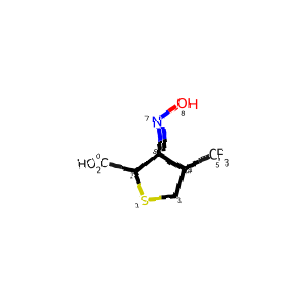 O=C(O)C1SCC(C(F)(F)F)C1=NO